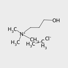 CC.C[N+](C)(C)CCCO.[Cl-]